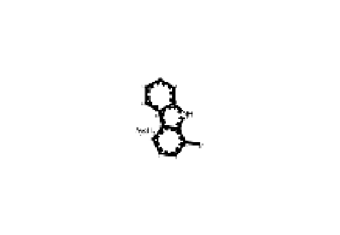 [CH2]c1cccc2c1[nH]c1ccccc12.[MgH2]